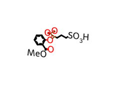 COC(=O)c1ccccc1OS(=O)(=O)CCCS(=O)(=O)O